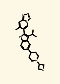 Cc1cc2nnnn2cc1-c1[nH]c2ccc(C3CCN(C4COC4)CC3)cc2c1C(C)C